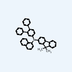 CC1(C)c2ccccc2-c2ccc(N(c3ccc(-c4ccccc4)c(-c4ccccc4)c3)c3cccc4ccccc34)cc21